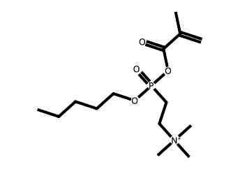 C=C(C)C(=O)OP(=O)(CC[N+](C)(C)C)OCCCCC